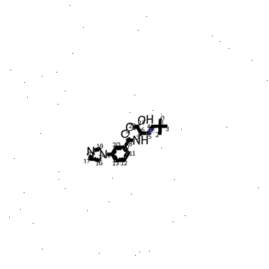 CC(C)(C)/C=C/C(NC(=O)c1cccc(-n2ccnc2)c1)C(=O)O